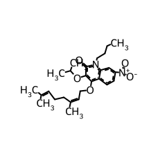 CCCCn1c(=O)c(OC(C)C)c(OCC=C(C)CCC=C(C)C)c2ccc([N+](=O)[O-])cc21